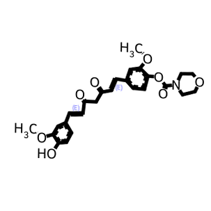 COc1cc(/C=C/C(=O)CC(=O)/C=C/c2ccc(OC(=O)N3CCOCC3)c(OC)c2)ccc1O